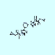 O=C(CC1CC1)Nc1nnc([C@H]2CCC[C@H](c3nnc(NC(=O)CC4CC4)s3)C2)s1